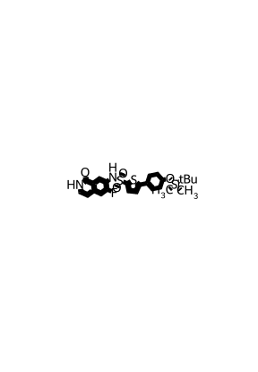 CC(C)(C)[Si](C)(C)OC1CC=C(c2ccc(S(=O)(=O)Nc3cc4c(=O)[nH]ccc4cc3F)s2)CC1